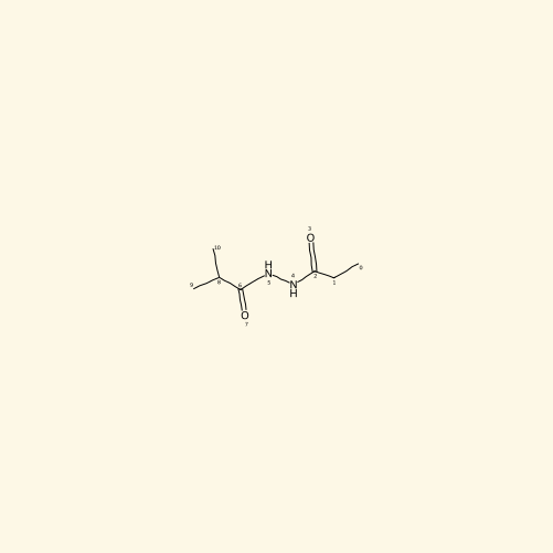 CCC(=O)NNC(=O)C(C)C